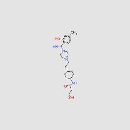 Cc1ccc(C(=N)N2CCN(CC[C@H]3CC[C@H](NC(=O)CCO)CC3)CC2)c(O)c1